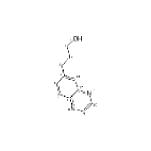 OCCCc1ccc2nccnc2c1